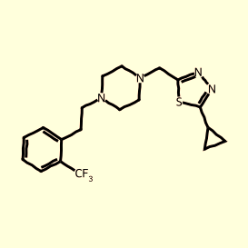 FC(F)(F)c1ccccc1CCN1CCN(Cc2nnc(C3CC3)s2)CC1